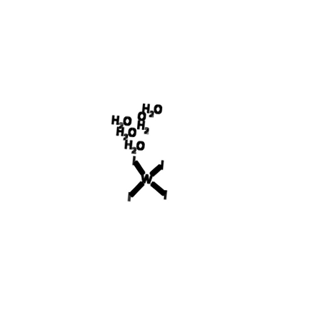 O.O.O.O.O.[I][W]([I])([I])[I]